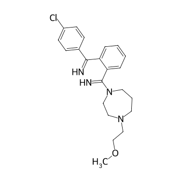 COCCN1CCCN(C(=N)c2ccccc2C(=N)c2ccc(Cl)cc2)CC1